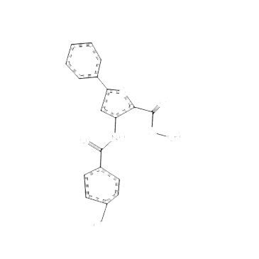 COC(=O)c1sc(-c2ccccc2)cc1NC(=O)c1ccc(Cl)cc1